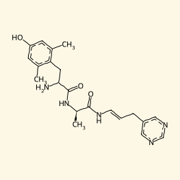 Cc1cc(O)cc(C)c1CC(N)C(=O)N[C@H](C)C(=O)N/C=C/Cc1cncnc1